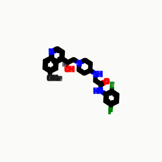 COc1ccc2nccc([C@@H](O)CN3CCC(NCC(=O)Nc4cc(F)ccc4F)CC3)c2c1